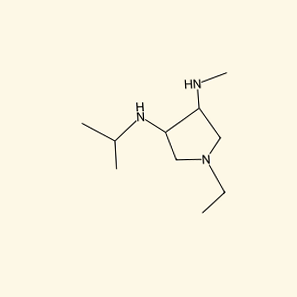 CCN1CC(NC)C(NC(C)C)C1